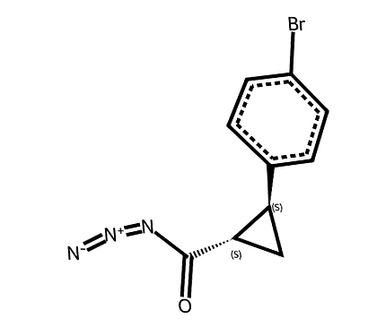 [N-]=[N+]=NC(=O)[C@H]1C[C@@H]1c1ccc(Br)cc1